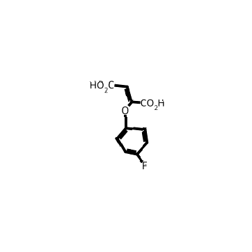 O=C(O)/C=C(\Oc1ccc(F)cc1)C(=O)O